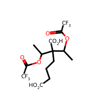 CC(OC(=O)C(F)(F)F)C(CCCC(=O)O)(C(=O)O)C(C)OC(=O)C(F)(F)F